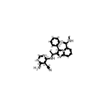 CNC(=O)c1cccc2nc(C(C)Nc3ncnc(N)c3C#N)c(-c3ccccc3)n12